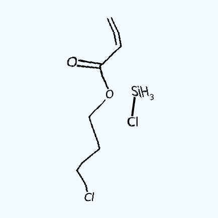 C=CC(=O)OCCCCl.[SiH3]Cl